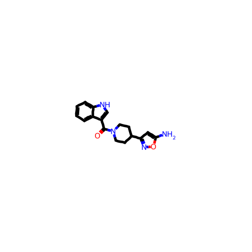 Nc1cc(C2CCN(C(=O)c3c[nH]c4ccccc34)CC2)no1